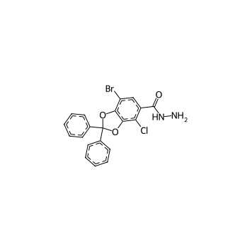 NNC(=O)c1cc(Br)c2c(c1Cl)OC(c1ccccc1)(c1ccccc1)O2